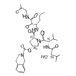 CCCC(NC(=O)[C@@H]1C[C@@H](OC(=O)N2CCc3ccccc3C2)CN1C(=O)[C@@H](NC(=O)[C@@H](O)C(C)C)C(C)C)C(=O)C(=O)NCC(C)=O